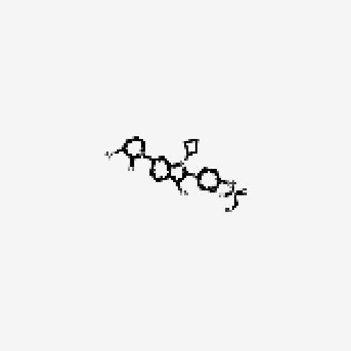 Cc1cccn(-c2ccc3c(C#N)c(-c4ccc(NS(=O)(=O)CC(C)C)cc4)n(C4CCC4)c3c2)c1=O